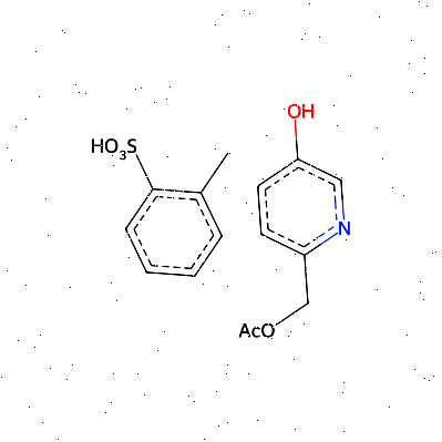 CC(=O)OCc1ccc(O)cn1.Cc1ccccc1S(=O)(=O)O